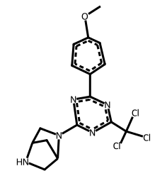 COc1ccc(-c2nc(N3CC4CC3CN4)nc(C(Cl)(Cl)Cl)n2)cc1